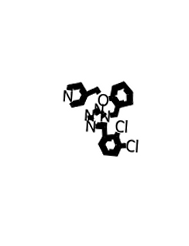 Clc1cccc(-c2nnnn2Cc2ccccc2OCc2ccncc2)c1Cl